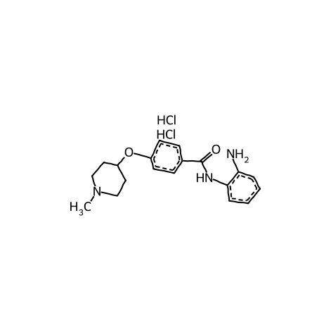 CN1CCC(Oc2ccc(C(=O)Nc3ccccc3N)cc2)CC1.Cl.Cl